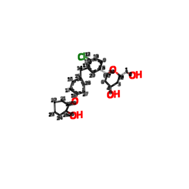 OC[C@@H]1CC(O)C[C@H](c2ccc(Cl)c(Cc3ccc(OC4CCCCC4O)cc3)c2)O1